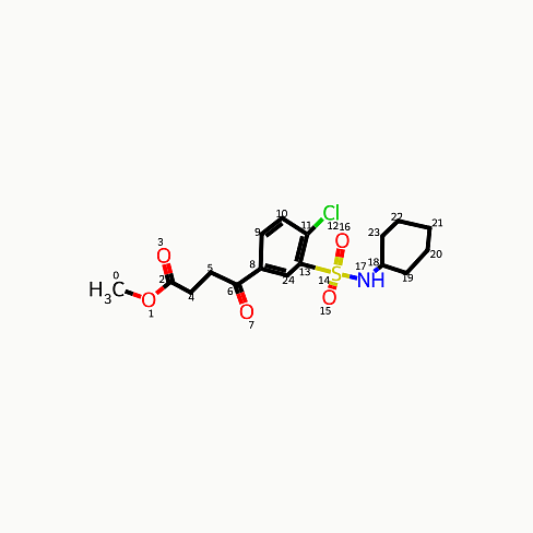 COC(=O)CCC(=O)c1ccc(Cl)c(S(=O)(=O)NC2CCCCC2)c1